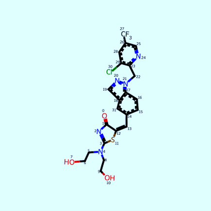 O=C1N=C(N(CCO)CCO)SC1=Cc1ccc2c(cnn2Cc2ncc(C(F)(F)F)cc2Cl)c1